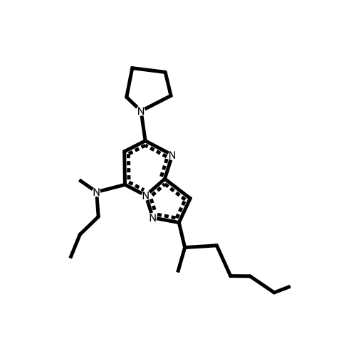 CCCCCC(C)c1cc2nc(N3CCCC3)cc(N(C)CCC)n2n1